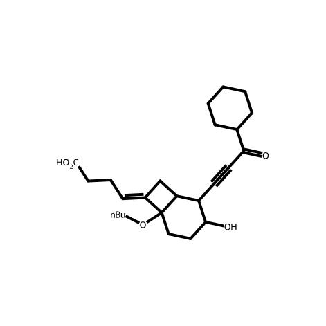 CCCCOC12CCC(O)C(C#CC(=O)C3CCCCC3)C1CC2=CCCC(=O)O